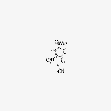 COc1ccc(SCC#N)c([N+](=O)[O-])c1